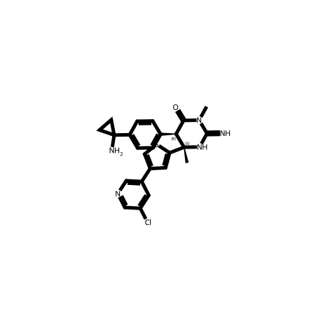 CN1C(=N)N[C@](C)(c2cc(-c3cncc(Cl)c3)cs2)[C@@H](c2ccc(C3(N)CC3)cc2)C1=O